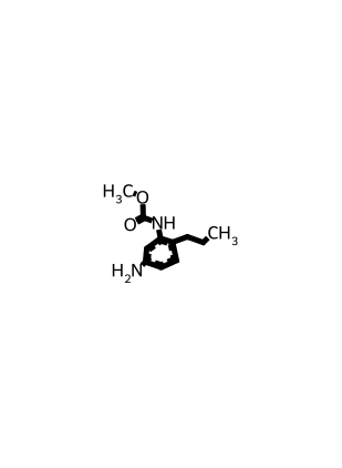 CCCc1ccc(N)cc1NC(=O)OC